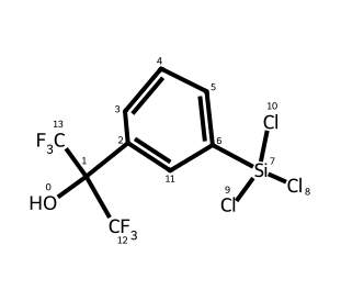 OC(c1cccc([Si](Cl)(Cl)Cl)c1)(C(F)(F)F)C(F)(F)F